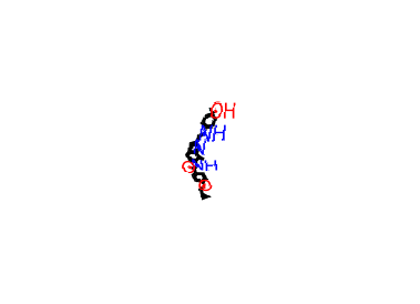 Cc1c(NC(=O)c2ccc(OCC3CC3)cc2)ccc2cc(CN[C@H]3CC[C@@](C)(O)CC3)n(C)c12